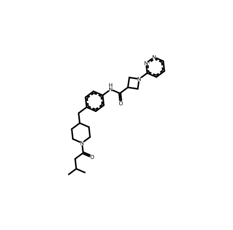 CC(C)CC(=O)N1CCC(Cc2ccc(NC(=O)C3CN(c4cccnn4)C3)cc2)CC1